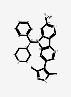 Cc1noc(C)c1-c1cnc2c3cnc(C(=O)O)cc3n([C@H](c3ccccc3)C3CCOCC3)c2c1